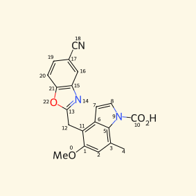 COc1cc(C)c2c(ccn2C(=O)O)c1Cc1nc2cc(C#N)ccc2o1